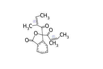 C/C=C(/C)C(=O)C1(C(=O)/C(C)=C\C)OC(=O)c2ccccc21